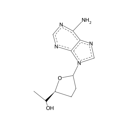 CC(O)[C@@H]1CCC(n2cnc3c(N)ncnc32)O1